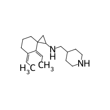 C/C=C1/CCCC2(CC2NCC2CCNCC2)/C1=C/C